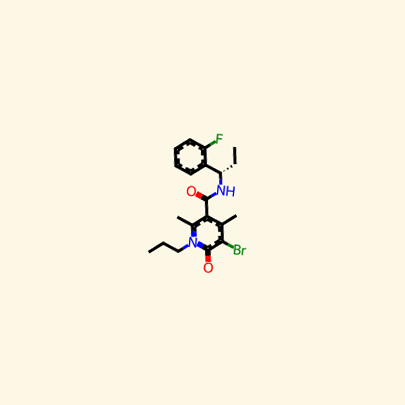 CCCn1c(C)c(C(=O)N[C@@H](CC)c2ccccc2F)c(C)c(Br)c1=O